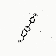 Cc1ccc(-c2nc3ccc(CO)cc3s2)cc1